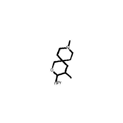 CCCC1OCC2(CCN(C)CC2)CC1C